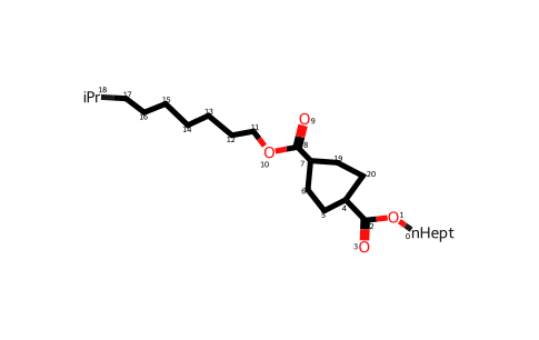 CCCCCCCOC(=O)C1CCC(C(=O)OCCCCCCCC(C)C)CC1